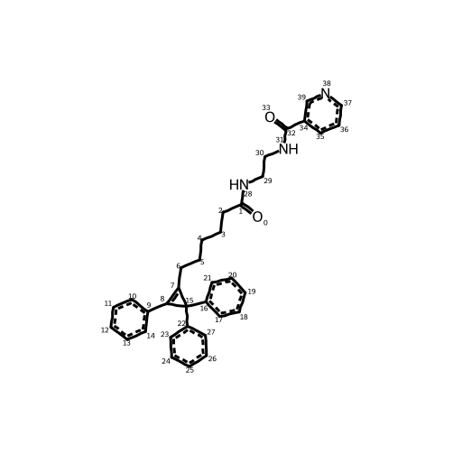 O=C(CCCCCC1=C(c2ccccc2)C1(c1ccccc1)c1ccccc1)NCCNC(=O)c1cccnc1